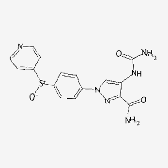 NC(=O)Nc1cn(-c2ccc([S+]([O-])c3ccncc3)cc2)nc1C(N)=O